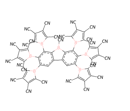 N#CB1c2c(cc(B3C(C#N)=C(C#N)C(C#N)=C3C#N)c(B3C(C#N)=C(C#N)C(C#N)=C3C#N)c2B2C(C#N)=C(C#N)C(C#N)=C2C#N)-c2cc(B3C(C#N)=C(C#N)C(C#N)=C3C#N)c(B3C(C#N)=C(C#N)C(C#N)=C3C#N)c(B3C(C#N)=C(C#N)C(C#N)=C3C#N)c21